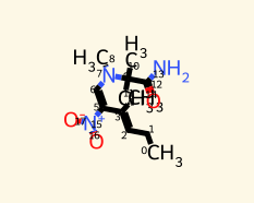 CC/C=C(C)/C(=C\N(C)C(C)(C)C(N)=O)[N+](=O)[O-]